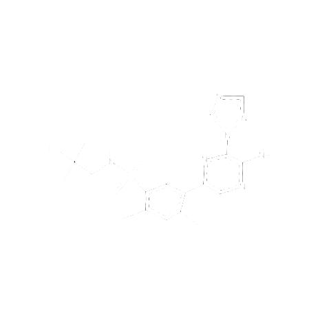 Cc1cc(C)c(S(=O)(=O)NCC(C)(C)O)cc1-c1cnc(N)c(-n2cncn2)n1